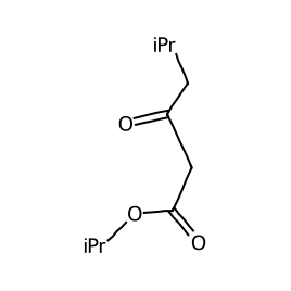 CC(C)CC(=O)CC(=O)OC(C)C